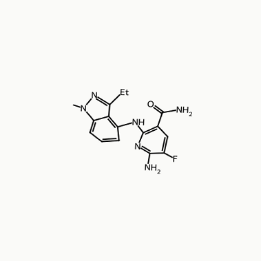 CCc1nn(C)c2cccc(Nc3nc(N)c(F)cc3C(N)=O)c12